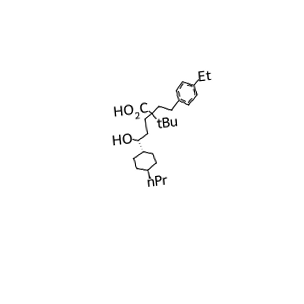 CCC[C@H]1CC[C@H](C(O)CCC(CCc2ccc(CC)cc2)(C(=O)O)C(C)(C)C)CC1